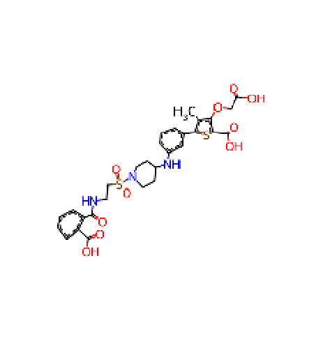 Cc1c(-c2cccc(NC3CCN(S(=O)(=O)CCNC(=O)c4ccccc4C(=O)O)CC3)c2)sc(C(=O)O)c1OCC(=O)O